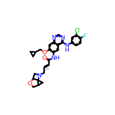 O=C(/C=C/CN1CC2OCC3CC321)Nc1cc2c(Nc3ccc(F)c(Cl)c3)ncnc2cc1OCC1CC1